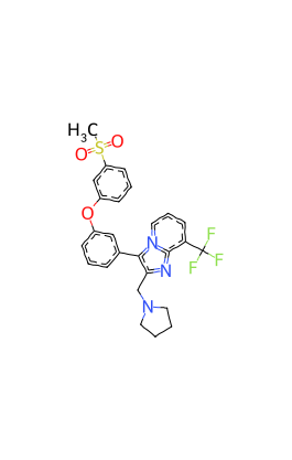 CS(=O)(=O)c1cccc(Oc2cccc(-c3c(CN4CCCC4)nc4c(C(F)(F)F)cccn34)c2)c1